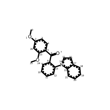 COc1ccc(C(=O)c2ccccc2-n2c[c]c3ccccc32)c(OC)c1